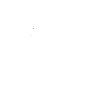 CC[C@H]1CC(C(=O)OCC(=O)c2ccc3c(c2)COc2cc4c(cc2-3)CCCC4=O)N(C(=O)OC(C)(C)C)C1